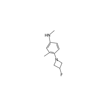 CNc1ccc(N2CC(F)C2)c(C)c1